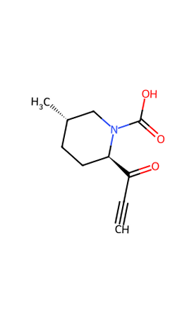 C#CC(=O)[C@H]1CC[C@H](C)CN1C(=O)O